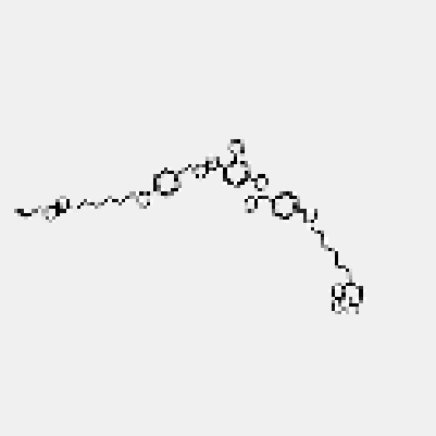 C=CCOOCCCCCCOc1ccc(COOc2ccc(OC(=O)c3ccc(OCCCCCCC(C=C)OO)cc3)cc2Cl)cc1